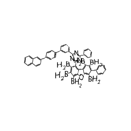 Bc1c(B)c(-c2nc(-c3ccccc3)nc(-c3cccc(-c4ccc(-c5ccc6ccccc6c5)cc4)c3)n2)c2c(oc3c(B)c(-c4ccccc4)c(B)c(B)c32)c1B